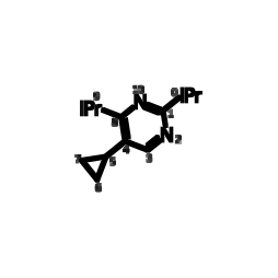 CC(C)c1ncc(C2CC2)c(C(C)C)n1